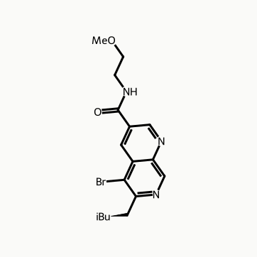 CC[C@H](C)Cc1ncc2ncc(C(=O)NCCOC)cc2c1Br